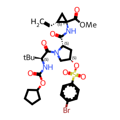 C=C[C@@H]1C[C@]1(NC(=O)[C@@H]1C[C@H](OS(=O)(=O)c2ccc(Br)cc2)CN1C(=O)[C@@H](NC(=O)OC1CCCC1)C(C)(C)C)C(=O)OC